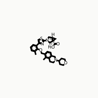 Cc1cccc(-c2csc(N3C[C@H]4C[C@@]4(C(=O)O)[C@@H]3C)n2)c1OCc1ccc2c(c1C)CCN(C1CCOCC1)C2